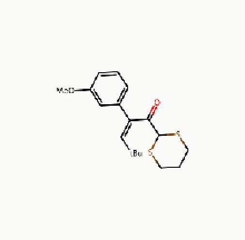 COc1cccc(C(=CC(C)(C)C)C(=O)C2SCCCS2)c1